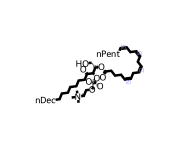 CCCCC/C=C\C/C=C\C/C=C\C/C=C\CCCC(=O)O[C@@H](CO)C(OP(=O)([O-])OCC[N+](C)(C)C)C(=O)CCCCCCCCCCCCCCCCC